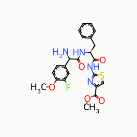 COC(=O)c1csc(NC(=O)[C@H](Cc2ccccc2)NC(=O)C(N)c2ccc(OC)c(F)c2)n1